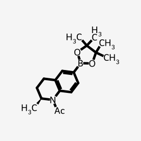 CC(=O)N1c2ccc(B3OC(C)(C)C(C)(C)O3)cc2CC[C@@H]1C